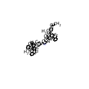 C=CC(=O)N1CCN(c2nc(=O)n(-c3ncc(/C=C\C(=O)N4C[C@@H](C)N(c5nc(=O)n(-c6c(C)ccnc6C(C)C)c6nc(-c7c(N)cccc7F)c(Cl)cc56)[C@@H](C)C4)nc3C(C)C)c3nc(-c4ccccc4F)c(F)cc23)[C@@H](C)C1